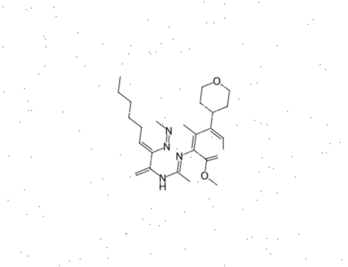 C=C(N/C(C)=N/C(C(=C)OC)=C(C)/C(=C\C)C1CCOCC1)C(=C/CCCCC)/N=N\C